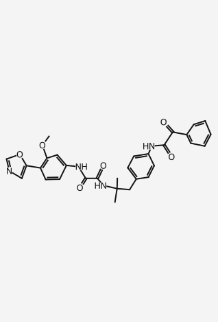 COc1cc(NC(=O)C(=O)NC(C)(C)Cc2ccc(NC(=O)C(=O)c3ccccc3)cc2)ccc1-c1cnco1